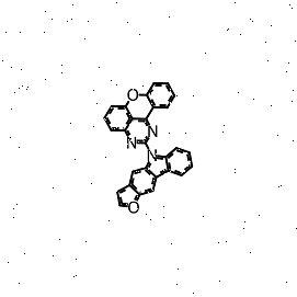 c1ccc2c(c1)Oc1cccc3nc(-n4c5ccccc5c5cc6occc6cc54)nc-2c13